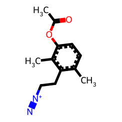 CC(=O)Oc1ccc(C)c(CC[N+]#N)c1C